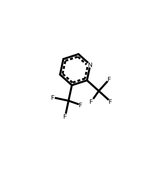 FC(F)(F)c1cccnc1C(F)(F)F